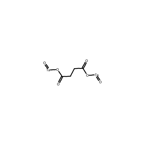 [O]=[Ta][O]C(=O)CCC(=O)[O][Ta]=[O]